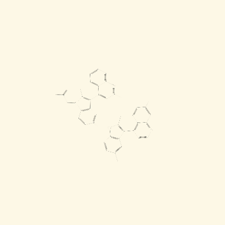 Cc1ccc2[nH]c(C)c(-c3ccnc4cc(Cl)ccc34)c2c1.Cc1ccc2c(c1)c(-c1cc(Cl)nc3ccccc13)c(C)n2CC(=O)O